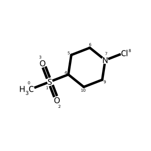 CS(=O)(=O)C1CCN(Cl)CC1